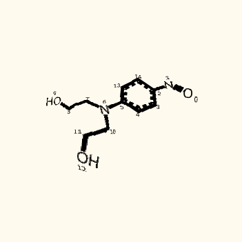 O=Nc1ccc(N(CCO)CCO)cc1